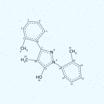 Cc1ccccc1-c1nn(-c2ccccc2C)c(O)c1C